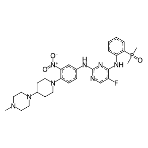 CN1CCN(C2CCN(c3ccc(Nc4ncc(F)c(Nc5ccccc5P(C)(C)=O)n4)cc3[N+](=O)[O-])CC2)CC1